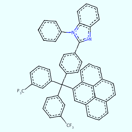 FC(F)(F)c1cccc(C(c2ccc(-c3nc4ccccc4n3-c3ccccc3)cc2)(c2cccc(C(F)(F)F)c2)c2cc3cccc4ccc5cccc2c5c43)c1